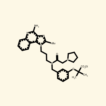 CCCCc1nc2c(N)nc3ccccc3c2n1CCCN(Cc1cccc(OC(C)(C)C(=O)OCC)c1)C(=O)CN1CCCC1